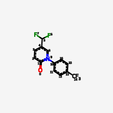 O=c1ccc(C(F)F)cn1-c1ccc(C(F)(F)F)cc1